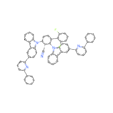 N#Cc1c(-n2c3ccccc3c3cc(-c4cccc(-c5ccccc5)n4)ccc32)ccc(-c2c(F)cccc2F)c1-n1c2ccccc2c2cc(-c3cccc(-c4ccccc4)n3)ccc21